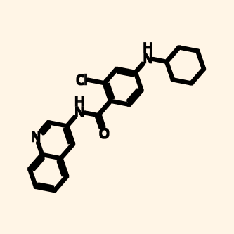 O=C(Nc1cnc2ccccc2c1)c1ccc(NC2CCCCC2)cc1Cl